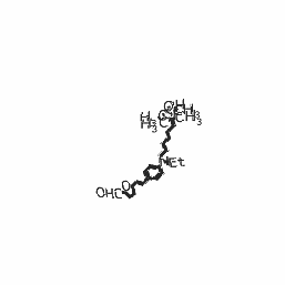 CCN(CCCCCCC(C)(C)[Si](C)(C)O)c1ccc(/C=C/C2CC=C(C=O)O2)cc1